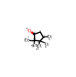 CCC1CC(=O)C(CC)(CC)C1(CC)CC